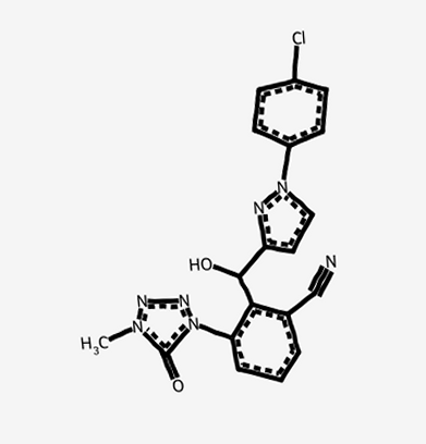 Cn1nnn(-c2cccc(C#N)c2C(O)c2ccn(-c3ccc(Cl)cc3)n2)c1=O